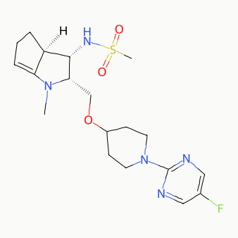 CN1C2=CCC[C@H]2[C@H](NS(C)(=O)=O)[C@@H]1COC1CCN(c2ncc(F)cn2)CC1